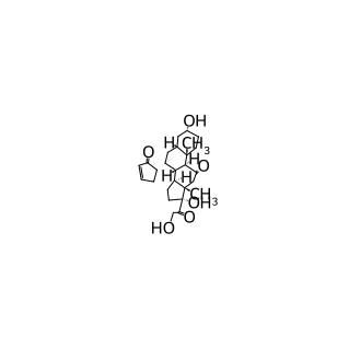 C[C@]12CC[C@@H](O)C[C@H]1CC[C@@H]1[C@@H]2C(=O)C[C@@]2(C)[C@H]1CC[C@]2(O)C(=O)CO.O=C1C=CCC1